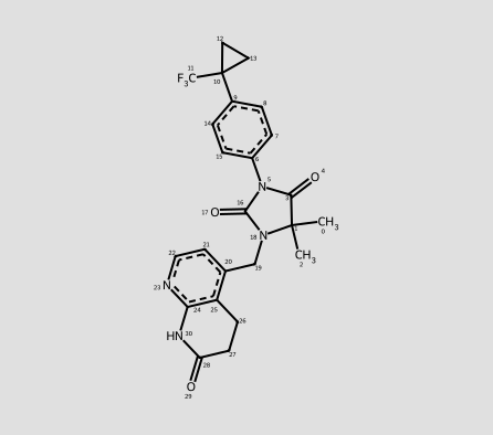 CC1(C)C(=O)N(c2ccc(C3(C(F)(F)F)CC3)cc2)C(=O)N1Cc1ccnc2c1CCC(=O)N2